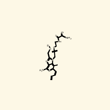 C=C/C=C\c1nc(N)c2nc(COCC)n(CC(C)(C)OCCNC(=O)C(N)C(C)C)c2c1C